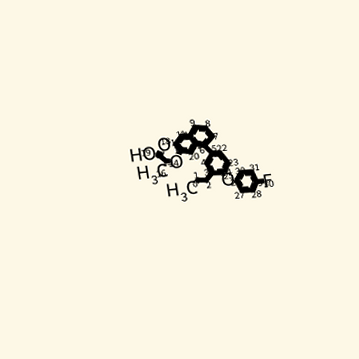 CCCc1cc(-c2cccc3ccc(O[C@@H](C)C(=O)O)cc23)ccc1Oc1ccc(F)cc1